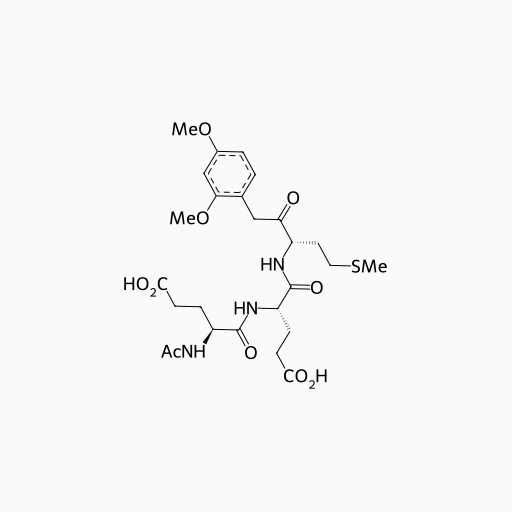 COc1ccc(CC(=O)[C@H](CCSC)NC(=O)[C@H](CCC(=O)O)NC(=O)[C@H](CCC(=O)O)NC(C)=O)c(OC)c1